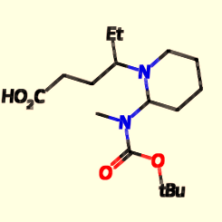 CCC(CCC(=O)O)N1CCCCC1N(C)C(=O)OC(C)(C)C